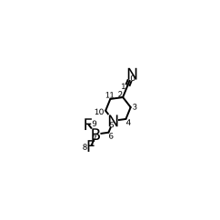 N#CC1CCN(CB(F)F)CC1